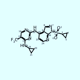 O=S(=O)(C1CC1)n1ncc2c(Nc3ncc(C(F)(F)F)c(NC4CC4)n3)ccnc21